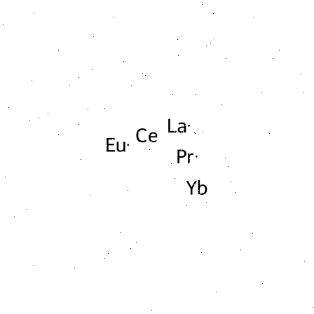 [Ce].[Eu].[La].[Pr].[Yb]